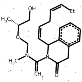 C=C(N(C)CO[C@H](C)CO)N1C(=O)Cc2ccccc2C1/C=C\C/C=C\CC